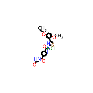 CCCOc1ccc(OC)c(-c2csc(NC(=O)c3ccc(C(=O)NCC=O)cc3)n2)c1.Cl